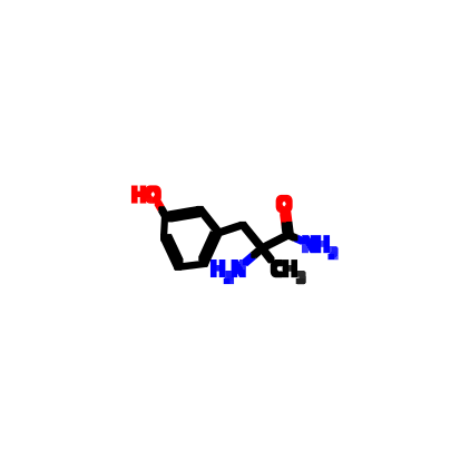 CC(N)(Cc1cccc(O)c1)C(N)=O